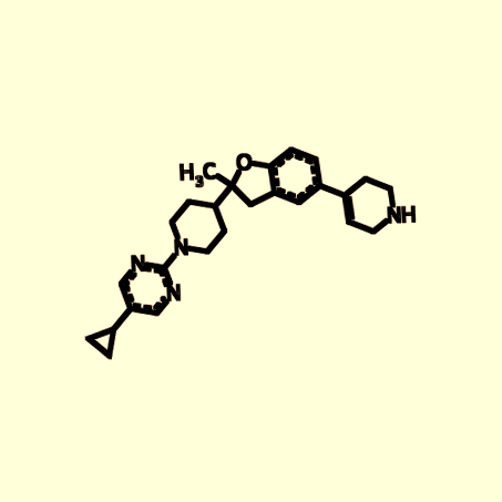 CC1(C2CCN(c3ncc(C4CC4)cn3)CC2)Cc2cc(C3=CCNCC3)ccc2O1